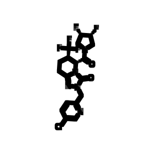 O=C([C@H]1[C@H](C(F)(F)F)CCc2nn(Cc3ccc(Cl)cn3)c(=O)n21)N1C[C@@H](F)[C@@H](F)C1